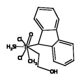 [CH3][Ti](=[O])([SiH3])([Cl])([Cl])([CH2]CO)[CH]1c2ccccc2-c2ccccc21